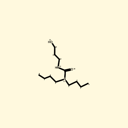 CCCCN(CCCC)C(=O)NCCCO